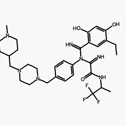 CCc1cc(C(=N)N(C(=N)C(=O)NC(C)C(F)(F)F)c2ccc(CN3CCN(CC4CCN(C)CC4)CC3)cc2)c(O)cc1O